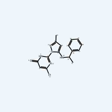 CCc1cc(=O)[nH]c(-n2nc(C)cc2NC(C)c2ccccc2)n1